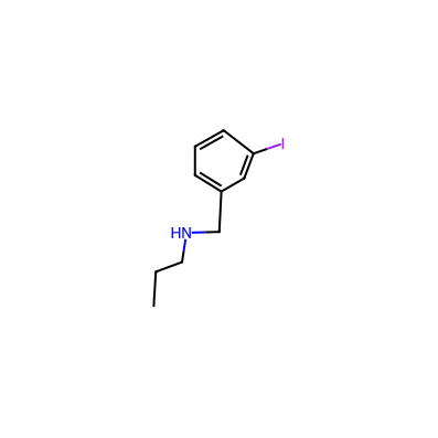 CCCNCc1cccc(I)c1